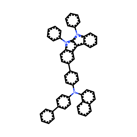 c1ccc(-c2ccc(N(c3ccc(-c4ccc5c(c4)c4c6ccccc6n(-c6ccccc6)c4n5-c4ccccc4)cc3)c3cccc4ccccc34)cc2)cc1